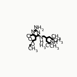 CCOC(=O)Cc1c(Cl)nc(N)nc1NCC1CC(C)(C)NC(C)(C)C1